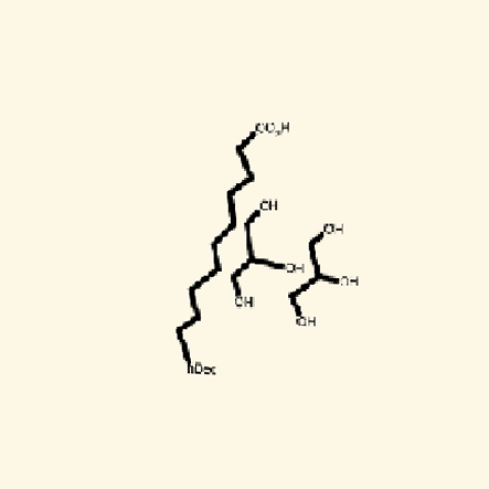 CCCCCCCCCCCCCCCCCCCC(=O)O.OCC(O)CO.OCC(O)CO